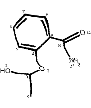 CC(O)Oc1ccccc1C(N)=O